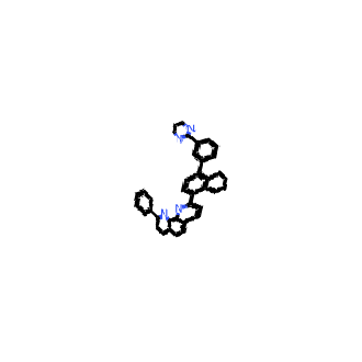 c1ccc(-c2ccc3ccc4ccc(-c5ccc(-c6cccc(-c7ncccn7)c6)c6ccccc56)nc4c3n2)cc1